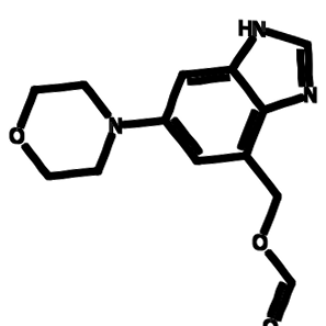 O=COCc1cc(N2CCOCC2)cc2[nH]cnc12